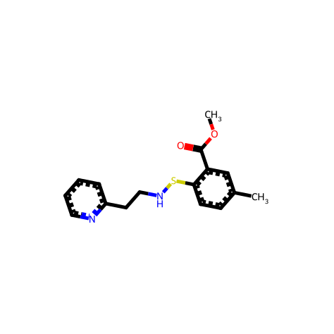 COC(=O)c1cc(C)ccc1SNCCc1ccccn1